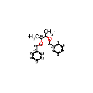 [CH2]C(OCc1ccccc1)C([CH2])OCc1ccccc1